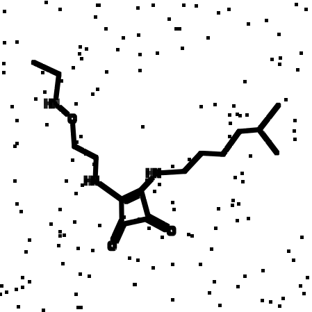 CCNOCCNc1c(NCCCCC(C)C)c(=O)c1=O